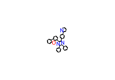 c1ccc(-c2nc(-c3ccc(-c4ccccn4)cc3)c(-c3cccc4c3oc3ccccc34)nc2-c2ccccc2)cc1